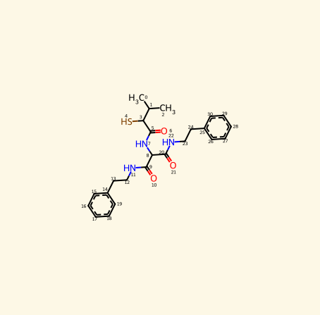 CC(C)C(S)C(=O)NC(C(=O)NCCc1ccccc1)C(=O)NCCc1ccccc1